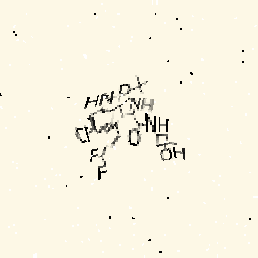 C=C(/C=C\C=C(\F)CF)[C@H]1[C@H](C(=O)N[C@H]2C[C@@](C)(O)C2)N[C@@H](CC(C)(C)C)[C@@]12C(=O)Nc1cc(Cl)ccc12